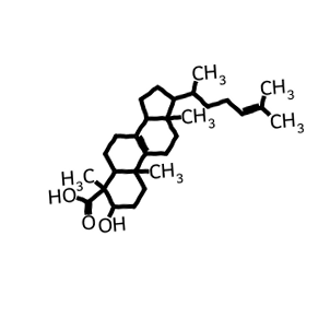 CC(C)=CCCC(C)C1CCC2C3=C(CCC21C)C1(C)CCC(O)C(C)(C(=O)O)C1CC3